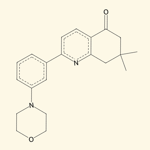 CC1(C)CC(=O)c2ccc(-c3cccc(N4CCOCC4)c3)nc2C1